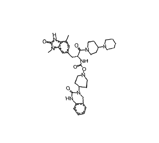 Cc1cc(CC(NC(=O)ON2CCC(N3Cc4ccccc4NC3=O)CC2)C(=O)N2CCC(N3CCCCC3)CC2)cc2c1[nH]c(=O)n2C